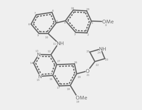 COc1ccc(-c2ccccc2Nc2ncnc3cc(OC)c(OC4CNC4)cc23)cc1